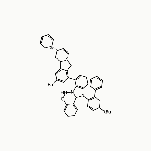 CC(C)(C)c1cc(C2=CCCC3=C2N2NOC4=CCCC=C4C2N3C2=C(c3ccccc3)CC(C(C)(C)C)C=C2)c2c(c1)C1CC([C@H]3C=CC=CC3)C=CN1C2